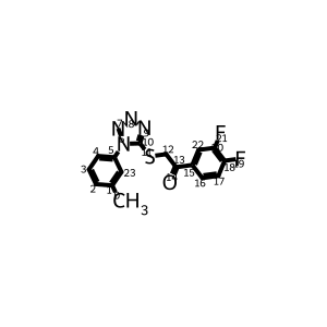 Cc1cccc(-n2nnnc2SCC(=O)c2ccc(F)c(F)c2)c1